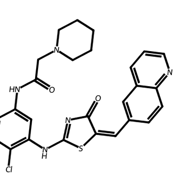 O=C(CN1CCCCC1)Nc1ccc(Cl)c(NC2=NC(=O)C(=Cc3ccc4ncccc4c3)S2)c1